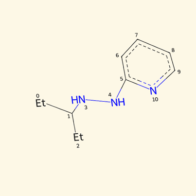 CCC(CC)NNc1ccccn1